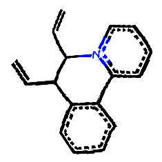 C=CC1c2ccccc2-c2cccc[n+]2C1C=C